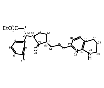 CCOC(=O)C[C@@H](c1cccc(F)c1)N1CC[C@@H](CCCc2ccc3c(n2)NCCC3)C1=O